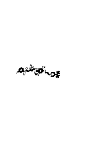 COc1cc2c(Nc3cc(CC(=O)Nc4cccc(F)c4)[nH]n3)ncnc2cc1OCCCN1CCC([C](C(C)(C)C)C(C)(C)C)CC1